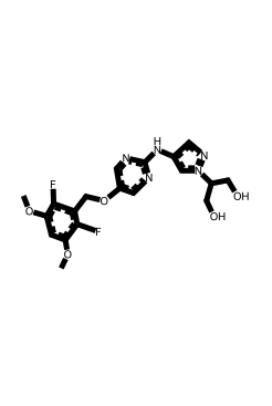 COc1cc(OC)c(F)c(COc2cnc(Nc3cnn(C(CO)CO)c3)nc2)c1F